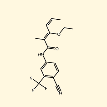 C/C=C\C(OCC)=C(/C)C(=O)Nc1ccc(C#N)c(C(F)(F)F)c1